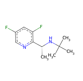 C[C@@H](NC(C)(C)C)c1ncc(F)cc1F